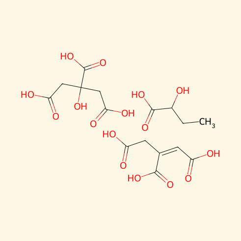 CCC(O)C(=O)O.O=C(O)C=C(CC(=O)O)C(=O)O.O=C(O)CC(O)(CC(=O)O)C(=O)O